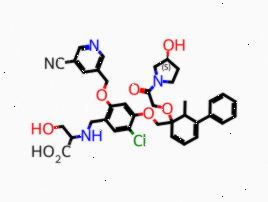 CC1C(c2ccccc2)=CC=CC1(COc1cc(OCc2cncc(C#N)c2)c(CNC(CO)C(=O)O)cc1Cl)OCC(=O)N1CC[C@H](O)C1